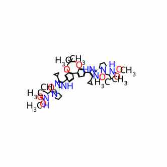 COC(=O)N[C@H](C(=O)N1CCC[C@H]1c1nc(C2CC2)c(-c2ccc3c(c2)OCC(C)(C)COc2cc(-c4[nH]c([C@@H]5CCCN5C(=O)[C@@H](NC(=O)OC)C(C)C)nc4C4CC4)ccc2-3)[nH]1)C(C)C